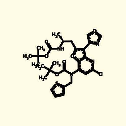 C[C@@H](Cc1oc2c(N(Cc3cccs3)C(=O)OC(C)(C)C)cc(Cl)nc2c1-c1cocn1)NC(=O)OC(C)(C)C